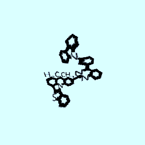 CC1(C)c2cc(-c3nc(-c4cccc(-n5c6ccccc6c6ccccc65)c4)c4ccccc4n3)ccc2N2c3c(sc4ccccc34)C3=CC=CC1C32